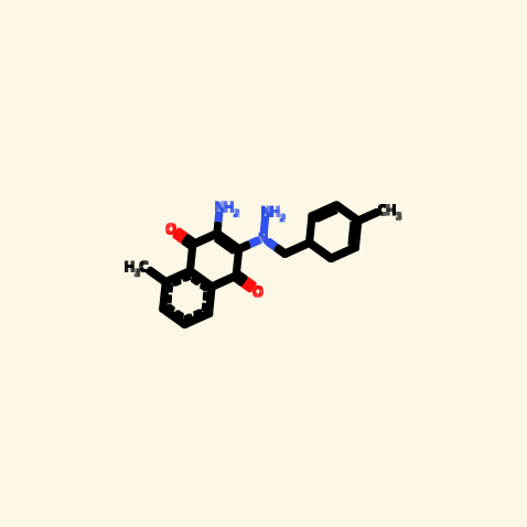 CC1=CCC(CN(N)C2=C(N)C(=O)c3c(C)cccc3C2=O)C=C1